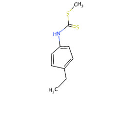 CCc1ccc(NC(=S)SC)cc1